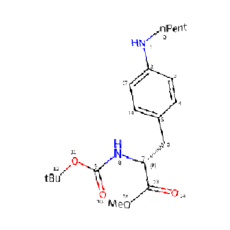 CCCCCNc1ccc(C[C@@H](NC(=O)OC(C)(C)C)C(=O)OC)cc1